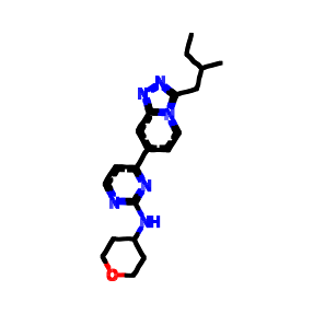 CCC(C)Cc1nnc2cc(-c3ccnc(NC4CCOCC4)n3)ccn12